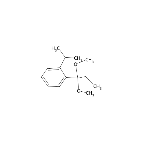 CCC(OC)(OC)c1ccccc1C(C)C